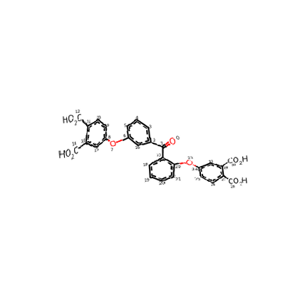 O=C(c1cccc(Oc2ccc(C(=O)O)c(C(=O)O)c2)c1)c1ccccc1Oc1ccc(C(=O)O)c(C(=O)O)c1